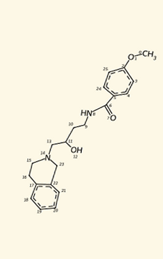 COc1ccc(C(=O)NCCC(O)CN2CCc3ccccc3C2)cc1